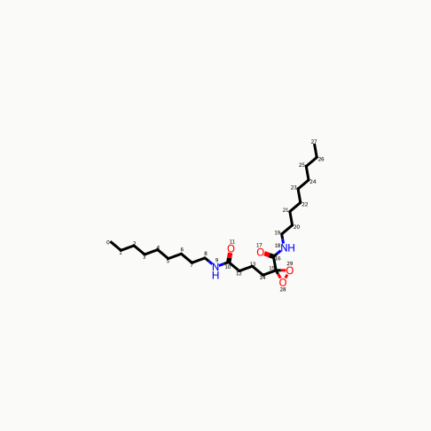 CCCCCCCCCNC(=O)CCCC1(C(=O)NCCCCCCCCC)OO1